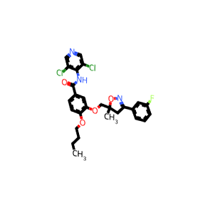 CCCCOc1ccc(C(=O)Nc2c(Cl)cncc2Cl)cc1OCC1(C)CC(c2cccc(F)c2)=NO1